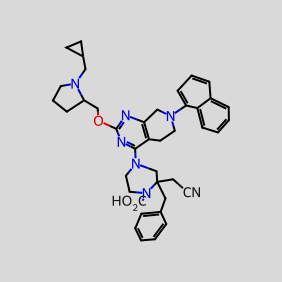 N#CCC1(Cc2ccccc2)CN(c2nc(OCC3CCCN3CC3CC3)nc3c2CCN(c2cccc4ccccc24)C3)CCN1C(=O)O